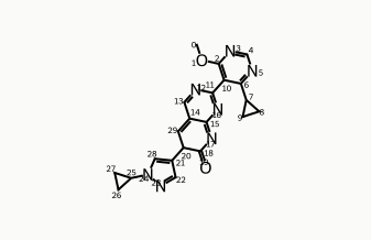 COc1ncnc(C2CC2)c1-c1ncc2c(n1)=NC(=O)C(c1cnn(C3CC3)c1)C=2